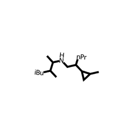 CCCC(CNC(C)C(C)C(C)CC)C1CC1C